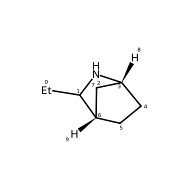 CCC1N[C@@H]2CC[C@H]1C2